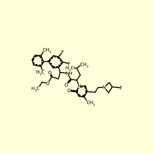 CCOC(=O)CC(NC(=O)C(CC(C)C)n1cc(CCN2CC(F)C2)c(C)cc1=O)c1cc(-c2c(C)cccc2C)cc(F)c1F